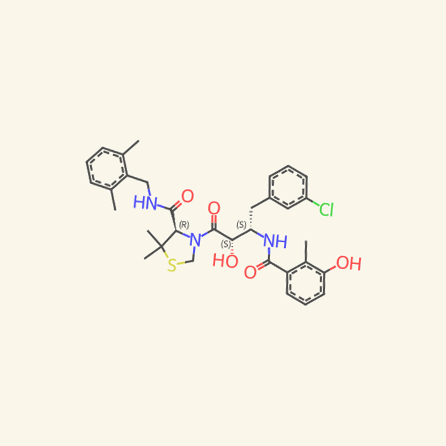 Cc1cccc(C)c1CNC(=O)[C@H]1N(C(=O)[C@@H](O)[C@H](Cc2cccc(Cl)c2)NC(=O)c2cccc(O)c2C)CSC1(C)C